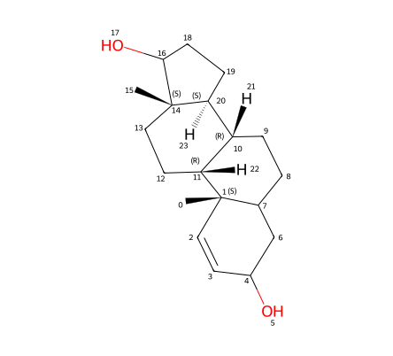 C[C@]12C=CC(O)CC1CC[C@@H]1[C@H]2CC[C@]2(C)C(O)CC[C@@H]12